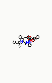 C=C1CC2C(CCc3ccc4c(oc5ccccc54)c3-c3n(-c4ccc(-c5ccccc5)cc4-c4ccccc4)c4ccccc4[n+]31)c1ccccc1-c1cc(CC3CCCC3)c([Si](C)(C)C)c[n+]12